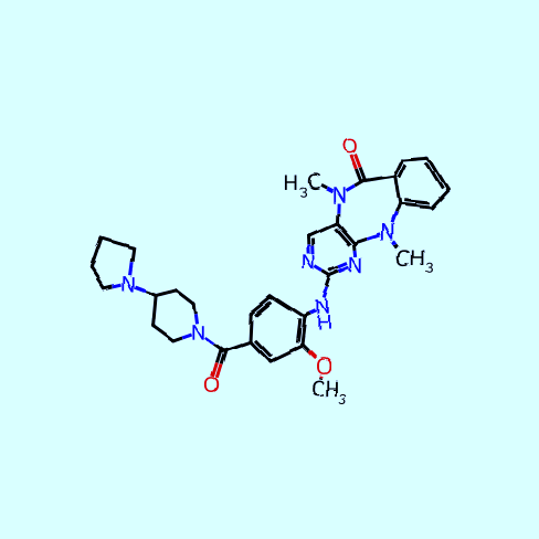 COc1cc(C(=O)N2CCC(N3CCCC3)CC2)ccc1Nc1ncc2c(n1)N(C)c1ccccc1C(=O)N2C